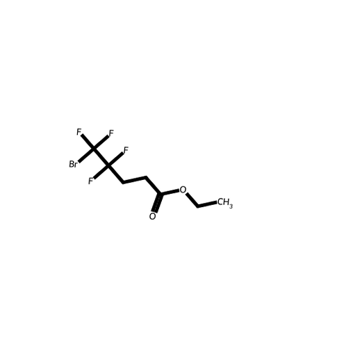 CCOC(=O)CCC(F)(F)C(F)(F)Br